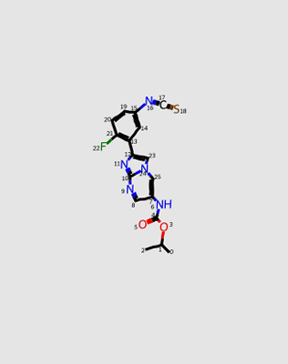 CC(C)OC(=O)Nc1cnc2nc(-c3cc(N=C=S)ccc3F)cn2c1